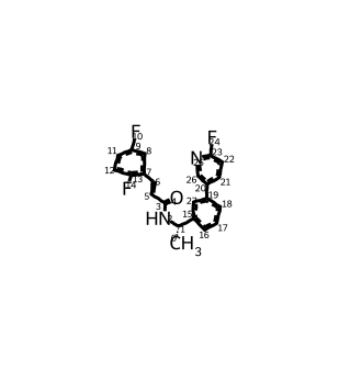 C[C@H](NC(=O)C=Cc1cc(F)ccc1F)c1cccc(-c2ccc(F)nc2)c1